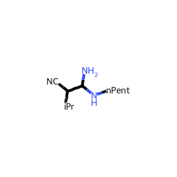 CCCCCNC(N)C(C#N)C(C)C